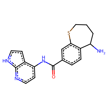 NC1CCCSc2cc(C(=O)Nc3ccnc4[nH]ccc34)ccc21